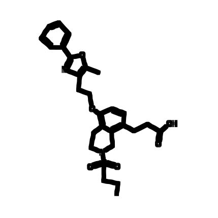 CCCS(=O)(=O)N1CCc2c(OCCc3nc(-c4ccccc4)oc3C)ccc(CCC(=O)O)c2C1